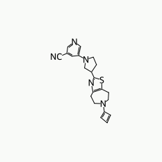 N#Cc1cncc(N2CCC(c3nc4c(s3)CCN(C3=CC=C3)CC4)C2)c1